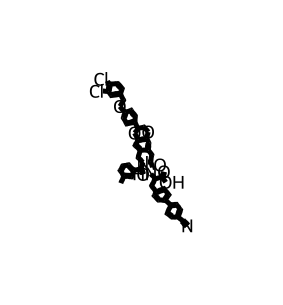 Cc1cccc(C(=O)N2Cc3cc4c(cc3CC2C(=O)NC(Cc2ccc(-c3ccc(C#N)cc3)cc2)C(=O)O)OCC(c2ccc(OCc3ccc(Cl)c(Cl)c3)cc2)O4)c1